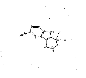 COc1ccc2[nH]c3c(c2c1)CNCC3(F)F